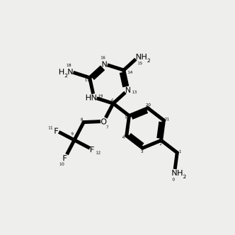 NCc1ccc(C2(OCC(F)(F)F)N=C(N)N=C(N)N2)cc1